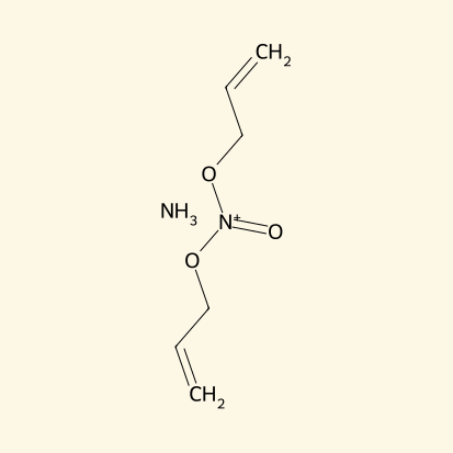 C=CCO[N+](=O)OCC=C.N